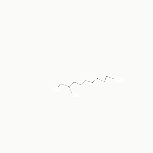 CCC([SeH])CCCCCCC[SeH]